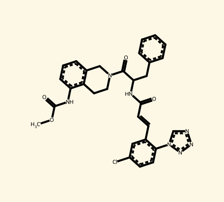 COC(=O)Nc1cccc2c1CCN(C(=O)C(Cc1ccccc1)NC(=O)C=Cc1cc(Cl)ccc1-n1cnnn1)C2